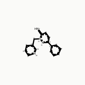 N=c1ccc(-c2ccccc2)nn1Cc1cccnc1